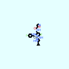 C[C@H](Nc1nc(Nc2cc(C3CC3)[nH]n2)c(F)cc1CNC(=O)c1ccno1)c1ccc(F)cc1